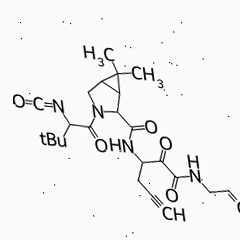 C#CCC(NC(=O)C1C2C(CN1C(=O)C(N=C=O)C(C)(C)C)C2(C)C)C(=O)C(=O)NCC=C